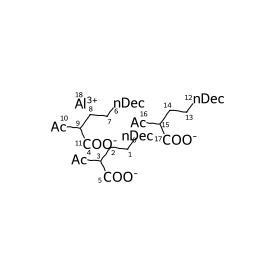 CCCCCCCCCCCCC(C(C)=O)C(=O)[O-].CCCCCCCCCCCCC(C(C)=O)C(=O)[O-].CCCCCCCCCCCCC(C(C)=O)C(=O)[O-].[Al+3]